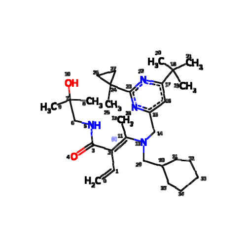 C=C/C(C(=O)NCC(C)(C)O)=C(/C)N(Cc1cc(C(C)(C)C)nc(C2(C)CC2)n1)CC1CCCCC1